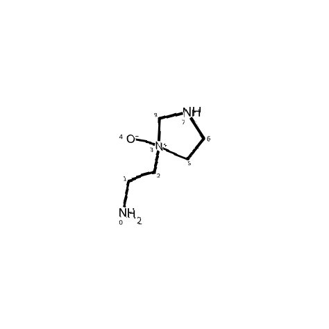 NCC[N+]1([O-])CCNC1